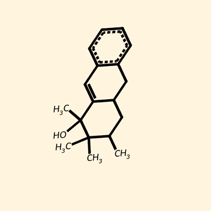 CC1CC2Cc3ccccc3C=C2C(C)(O)C1(C)C